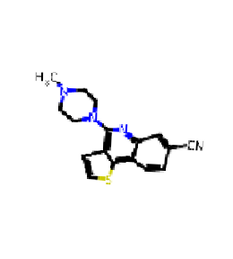 CN1CCN(c2nc3cc(C#N)ccc3c3sccc23)CC1